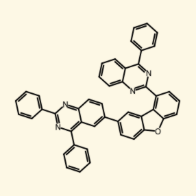 c1ccc(-c2nc(-c3ccccc3)c3cc(-c4ccc5oc6cccc(-c7nc(-c8ccccc8)c8ccccc8n7)c6c5c4)ccc3n2)cc1